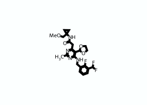 COCC1(NC(=O)Cc2nc(C)nc(NCc3cccc(C(F)F)c3F)c2C2OCCO2)CC1